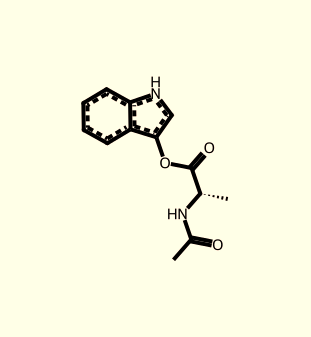 CC(=O)N[C@@H](C)C(=O)Oc1c[nH]c2ccccc12